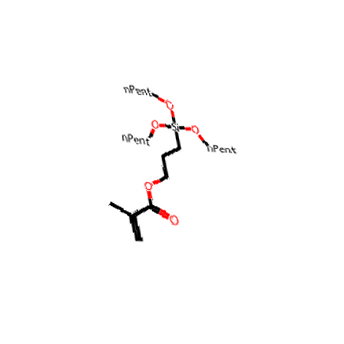 C=C(C)C(=O)OCCC[Si](OCCCCC)(OCCCCC)OCCCCC